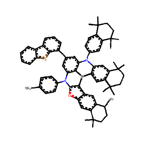 CC(C)C1CCC(C)(C)c2cc3oc4c(c3cc21)B1c2cc3c(cc2N(c2ccc5c(c2)C(C)(C)CCC5(C)C)c2cc(-c5cccc6c5sc5ccccc56)cc(c21)N4c1ccc(C(C)(C)C)cc1)C(C)(C)CCC3(C)C